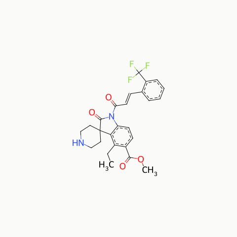 CCc1c(C(=O)OC)ccc2c1C1(CCNCC1)C(=O)N2C(=O)/C=C/c1ccccc1C(F)(F)F